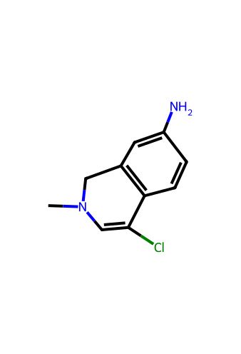 CN1C=C(Cl)c2ccc(N)cc2C1